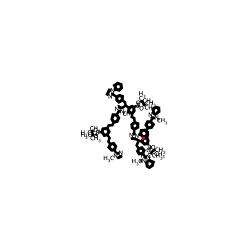 Cn1ccnc1-c1ccc(CCc2cc(CCc3ccc(-c4ncc(C(Cc5ccc(-c6nccn6-c6ccccc6)cc5)c5cc(CCc6ccc(-c7ncc(C(Cc8ccc(-c9nc%10ccccc%10n9C)cc8)c8cc(CCc9ccc(-c%10nc%11ccccc%11n%10C)cc9)cc(B9OC(C)(C)C(C)(C)O9)c8)n7-c7ccccc7)cc6)cc(B6OC(C)(C)C(C)(C)O6)c5)n4C)cc3)cc(B3OC(C)(C)C(C)(C)O3)c2)cc1